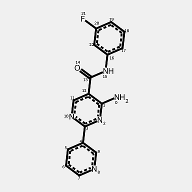 Nc1nc(-c2cccnc2)ncc1C(=O)Nc1cccc(F)c1